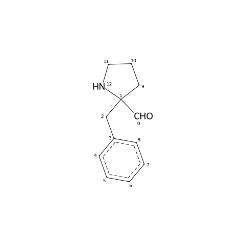 O=CC1(Cc2ccccc2)CCCN1